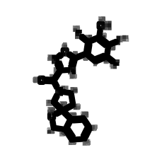 O=C(c1noc(-c2cc(F)c(F)c(O)c2F)n1)N1CCC2(C1)OCc1ccccc12